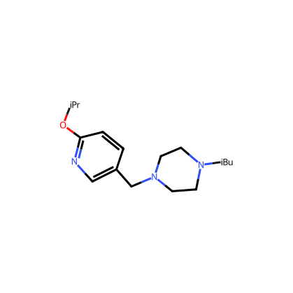 CCC(C)N1CCN(Cc2ccc(OC(C)C)nc2)CC1